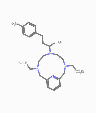 CCOC(=O)CN1CCN(C(CCc2ccc([N+](=O)[O-])cc2)C(=O)O)CCN(CC(=O)OCC)Cc2cccc(n2)C1